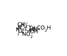 Cn1ncc([N+](=O)[O-])c1C1(F)CCC(O)(CNC(=O)O)CC1